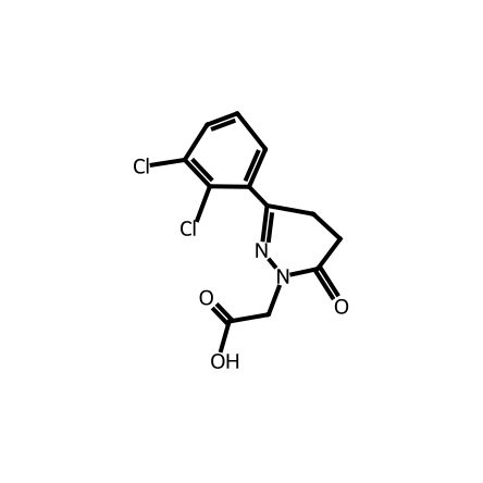 O=C(O)CN1N=C(c2cccc(Cl)c2Cl)CCC1=O